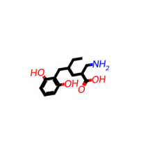 CCC(Cc1c(O)cccc1O)CC(CN)C(=O)O